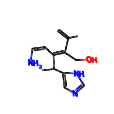 C=C(C)/C(CO)=C(\C=C/N)C(C)c1cnc[nH]1